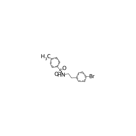 Cc1ccc(S(=O)(=O)NCCc2ccc(Br)cc2)cc1